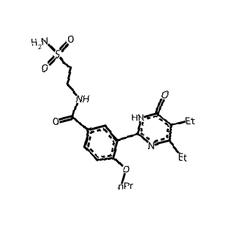 CCCOc1ccc(C(=O)NCCS(N)(=O)=O)cc1-c1nc(CC)c(CC)c(=O)[nH]1